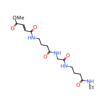 CCNC(=O)CCCNC(=O)CNC(=O)CCCNC(=O)/C=C/C(=O)OC